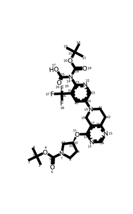 CC(C)(C)OC(=O)N1CC[C@H](Oc2ncnc3c2CN(c2cnc(N(C(=O)O)C(=O)OC(C)(C)C)c(C(F)(F)F)c2)CC3)C1